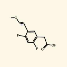 CO/C=C/c1cc(CC(=O)O)c(F)cc1F